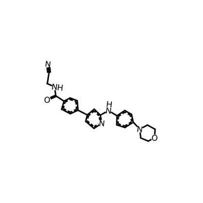 N#CCNC(=O)c1ccc(-c2ccnc(Nc3ccc(N4CCOCC4)cc3)c2)cc1